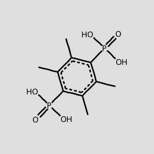 Cc1c(C)c(P(=O)(O)O)c(C)c(C)c1P(=O)(O)O